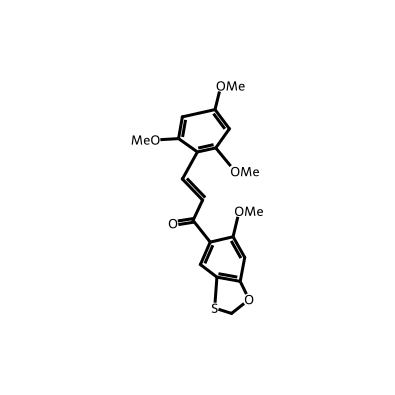 COc1cc(OC)c(C=CC(=O)c2cc3c(cc2OC)OCS3)c(OC)c1